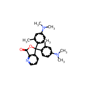 Cc1cc(N(C)C)ccc1C1(c2ccc(N(C)C)cc2C)OC(=O)c2ncccc21